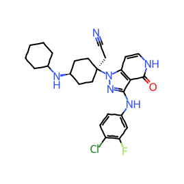 N#CC[C@]1(n2nc(Nc3ccc(Cl)c(F)c3)c3c(=O)[nH]ccc32)CC[C@@H](NC2CCCCC2)CC1